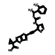 Cc1ccccc1C(C)OC(=O)Nc1cnoc1C#Cc1nc2sc(C3(C(=O)O)CC3)nc2s1